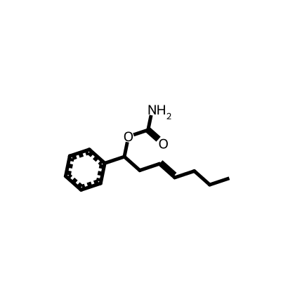 CCCC=CCC(OC(N)=O)c1ccccc1